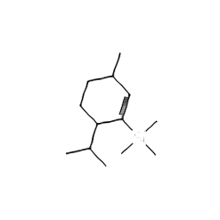 CC1C=C([Si](C)(C)C)C(C(C)C)CC1